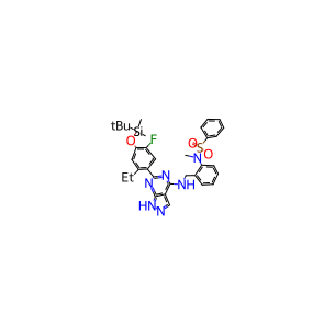 CCc1cc(O[Si](C)(C)C(C)(C)C)c(F)cc1-c1nc(NCc2ccccc2N(C)S(=O)(=O)c2ccccc2)c2cn[nH]c2n1